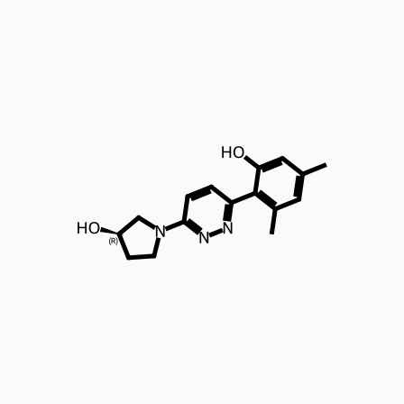 Cc1cc(C)c(-c2ccc(N3CC[C@@H](O)C3)nn2)c(O)c1